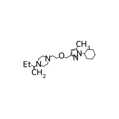 C=C(CC)N1CCN(CCOCc2cc(C)n(C3CCCCC3)n2)CC1